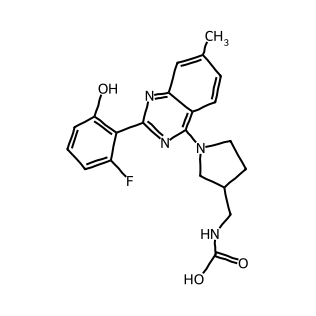 Cc1ccc2c(N3CCC(CNC(=O)O)C3)nc(-c3c(O)cccc3F)nc2c1